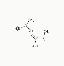 CC(N)=O.CCC(=O)O